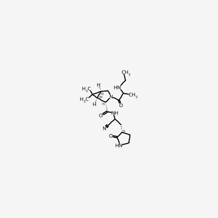 CCNC(C)C(=O)N1C[C@H]2[C@@H]([C@H]1C(=O)NC(C#N)C[C@@H]1CCNC1=O)C2(C)C